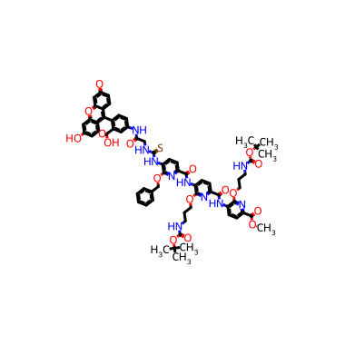 COC(=O)c1ccc(NC(=O)c2ccc(NC(=O)c3ccc(NC(=S)NCC(=O)Nc4ccc(-c5c6ccc(=O)cc-6oc6cc(O)ccc56)c(C(=O)O)c4)c(OCc4ccccc4)n3)c(OCCCNC(=O)OC(C)(C)C)n2)c(OCCCNC(=O)OC(C)(C)C)n1